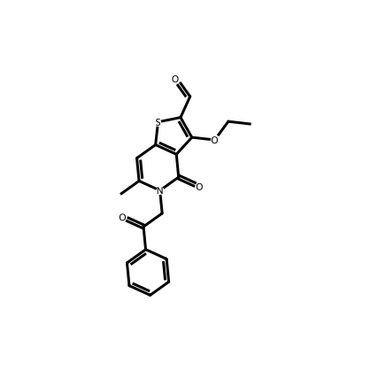 CCOc1c(C=O)sc2cc(C)n(CC(=O)c3ccccc3)c(=O)c12